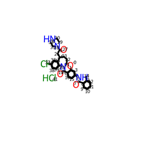 COc1cc(NC(=O)c2ccccc2C)ccc1C(=O)N1CCCC(CC(=O)N2CCNCC2)c2cc(Cl)ccc21.Cl